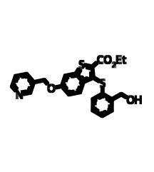 CCOC(=O)c1sc2cc(OCc3cccnc3)ccc2c1Sc1ccccc1CO